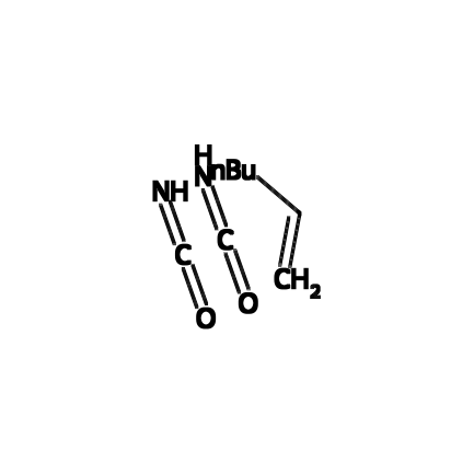 C=CCCCC.N=C=O.N=C=O